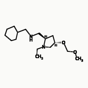 CCN1C[C@@H](OCOC)C[C@@H]1CNCC1CCCCC1